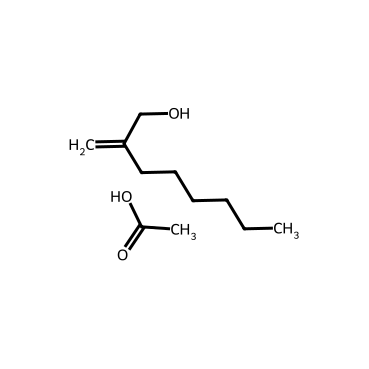 C=C(CO)CCCCCC.CC(=O)O